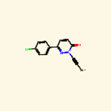 CCCC#Cn1nc(-c2ccc(Cl)cc2)ccc1=O